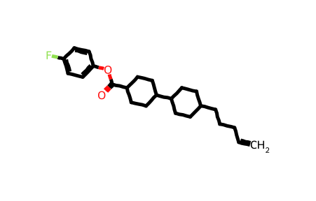 C=CCCCC1CCC(C2CCC(C(=O)Oc3ccc(F)cc3)CC2)CC1